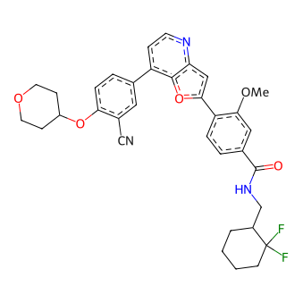 COc1cc(C(=O)NCC2CCCCC2(F)F)ccc1-c1cc2nccc(-c3ccc(OC4CCOCC4)c(C#N)c3)c2o1